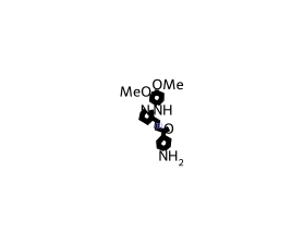 COc1ccc(Nc2ncccc2/C=C/C(=O)c2ccc(N)cc2)cc1OC